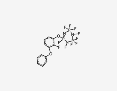 Fc1c(Oc2ccccc2)cccc1OP1(F)=NP(F)(F)(F)N(F)P(F)(F)(F)N1F